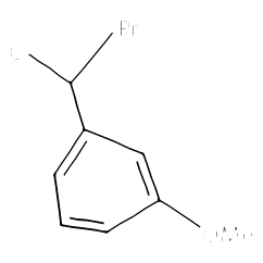 COc1cccc(C(Cl)C(C)C)c1